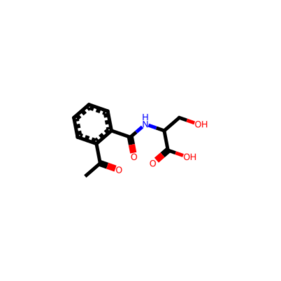 CC(=O)c1ccccc1C(=O)NC(CO)C(=O)O